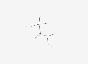 BC(Br)(C#N)C(=O)N(C)C